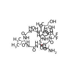 CC[C@H](C)[C@@H]1NC(=O)CNC(=O)[C@@H]2Cc3c([nH]c4ccccc34)S[C@H](NC(=O)CNC1=O)C(=O)N[C@@H](CC(N)=O)C(=O)N1CC(F)(F)C[C@H]1C(=O)N[C@@H]([C@@H](C)[C@@H](O)CO)C(=O)N2